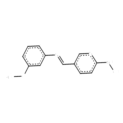 CNc1ccc(/C=N/c2cccc(OC)c2)cn1